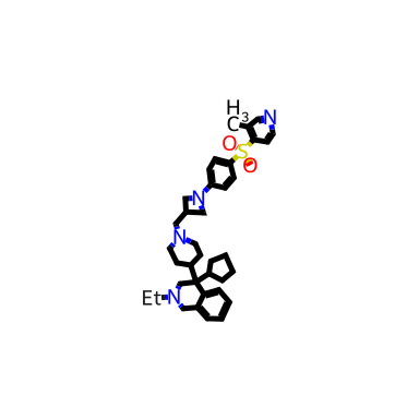 CCN1Cc2ccccc2C(C2CCCC2)(C2CCN(CC3CN(c4ccc(S(=O)(=O)c5ccncc5C)cc4)C3)CC2)C1